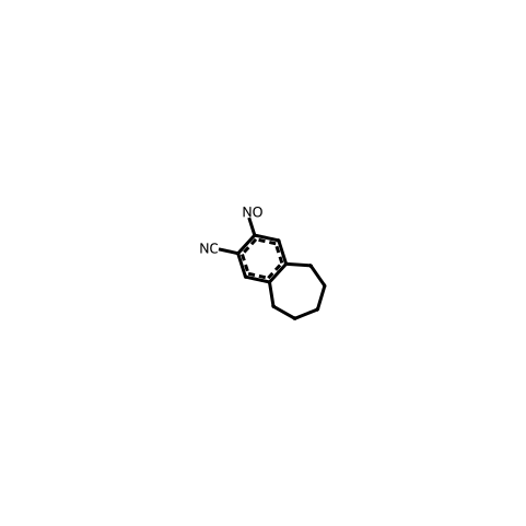 N#Cc1cc2c(cc1N=O)CCCCC2